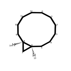 C1CCCCC[C@H]2C[C@H]2CCCC1